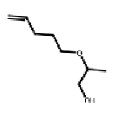 C=CCCCOC(C)CO